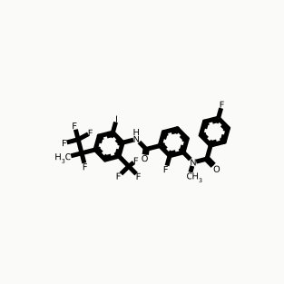 CN(C(=O)c1ccc(F)cc1)c1cccc(C(=O)Nc2c(I)cc(C(C)(F)C(F)(F)F)cc2C(F)(F)F)c1F